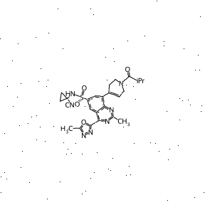 Cc1nc(-c2nnc(C)o2)c2cc(S(=O)(=O)NC3(C#N)CC3)cc(C3=CCN(C(=O)C(C)C)CC3)c2n1